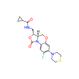 O=C(NC[C@@H]1OC(=O)N2c3cc(F)c(N4CCSCC4)cc3OC[C@@H]12)C1CC1